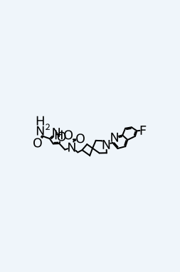 NC(=O)c1cc(CN(CC2CC3(CCN(c4ccc5cc(F)ccc5n4)CC3)C2)C(=O)O)on1